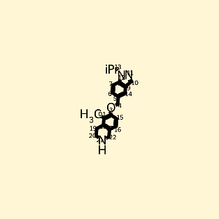 Cc1c(OCc2ccc3c(cnn3C(C)C)c2)ccc2c1CCNC2